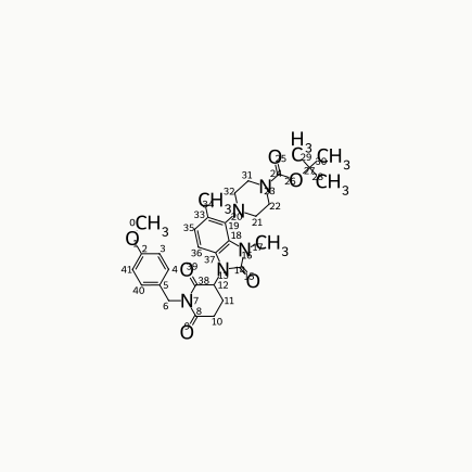 COc1ccc(CN2C(=O)CCC(n3c(=O)n(C)c4c(N5CCN(C(=O)OC(C)(C)C)CC5)c(C)ccc43)C2=O)cc1